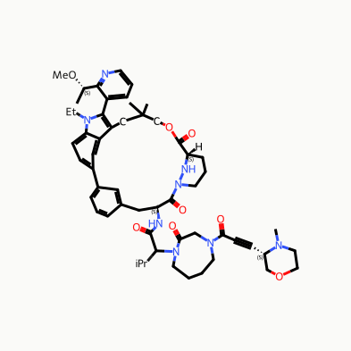 CCn1c(-c2cccnc2[C@H](C)OC)c2c3cc(ccc31)-c1cccc(c1)C[C@H](NC(=O)C(C(C)C)N1CCCCN(C(=O)C#C[C@H]3COCCN3C)CC1=O)C(=O)N1CCC[C@H](N1)C(=O)OCC(C)(C)C2